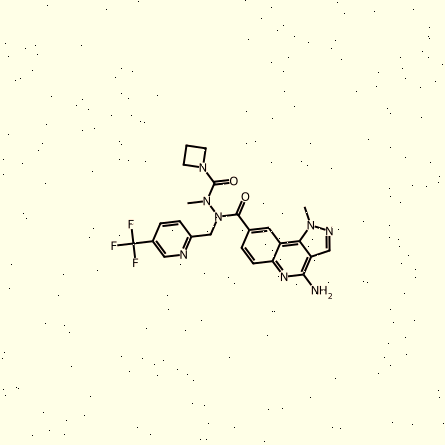 CN(C(=O)N1CCC1)N(Cc1ccc(C(F)(F)F)cn1)C(=O)c1ccc2nc(N)c3cnn(C)c3c2c1